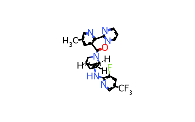 Cc1cnc(-c2ncccn2)c(C(=O)N2C[C@@H]3CC[C@H]2[C@H](Nc2ncc(C(F)(F)F)cc2F)C3)c1